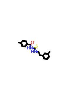 Cc1ccc(C(=O)NC(=S)NCCc2cccc(C)c2)cc1